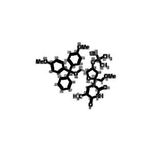 COC[C@]1(n2cc(C)c(=O)[nH]c2=O)CC(O[Si](C)(C)C(C)(C)C)[C@@H](COC(c2ccccc2)(c2ccc(OC)cc2)c2ccc(OC)cc2)O1